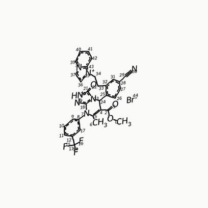 COC(=O)C1=C(C)N(c2cccc(C(F)(F)F)c2)c2n[nH]c(=O)n2C1c1ccc(C#N)cc1CC[n+]1ccn2ccccc21.[Br-]